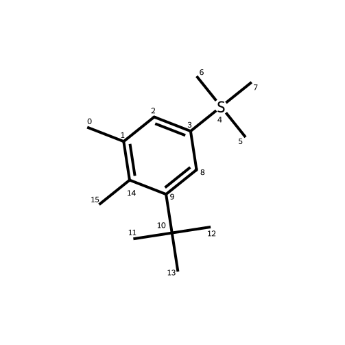 Cc1cc(S(C)(C)C)cc(C(C)(C)C)c1C